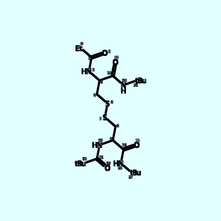 CCC(=O)NC(CSSCC(NC(=O)C(C)(C)C)C(=O)NC(C)(C)C)C(=O)NC(C)(C)C